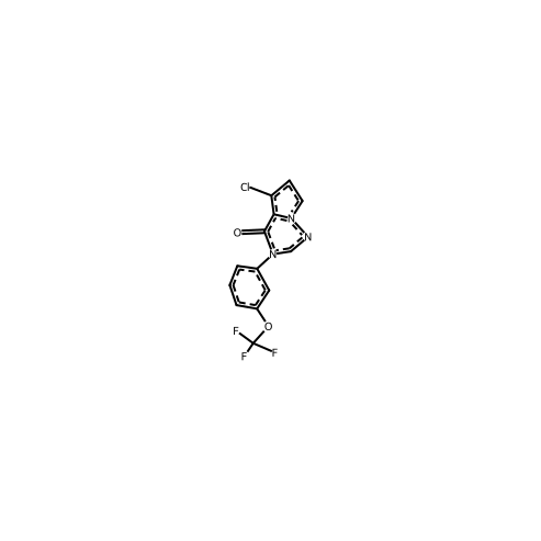 O=c1c2c(Cl)ccn2ncn1-c1cccc(OC(F)(F)F)c1